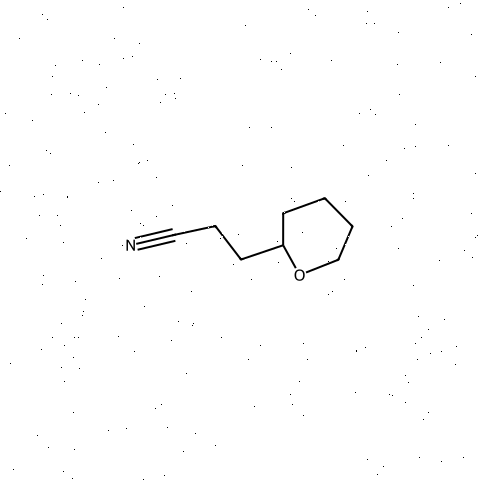 N#CCCC1CCCCO1